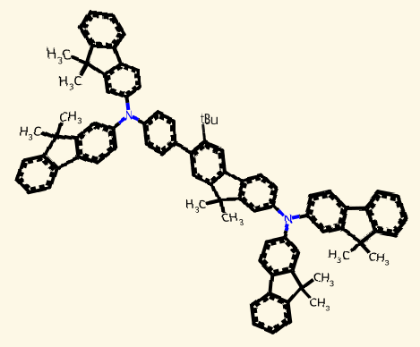 CC(C)(C)c1cc2c(cc1-c1ccc(N(c3ccc4c(c3)C(C)(C)c3ccccc3-4)c3ccc4c(c3)C(C)(C)c3ccccc3-4)cc1)C(C)(C)c1cc(N(c3ccc4c(c3)C(C)(C)c3ccccc3-4)c3ccc4c(c3)C(C)(C)c3ccccc3-4)ccc1-2